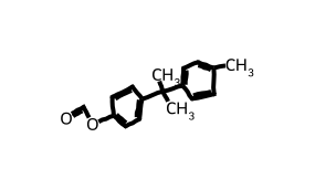 Cc1ccc(C(C)(C)c2ccc(OC=O)cc2)cc1